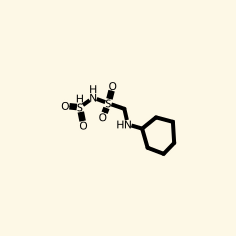 O=[SH](=O)NS(=O)(=O)CNC1CCCCC1